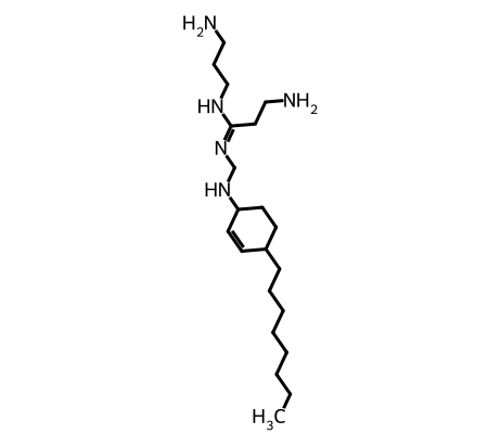 CCCCCCCCC1C=CC(NC/N=C(\CCN)NCCCN)CC1